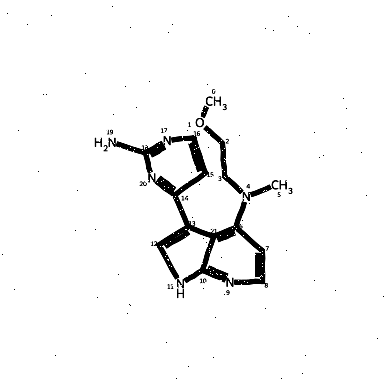 COCCN(C)c1ccnc2[nH]cc(-c3ccnc(N)n3)c12